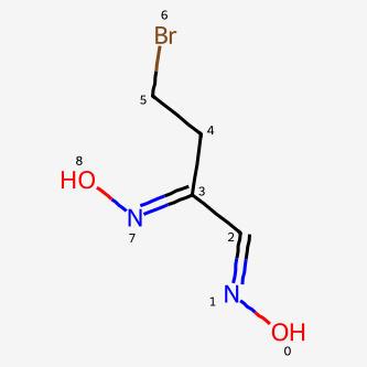 ON=CC(CCBr)=NO